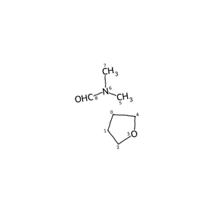 C1CCOC1.CN(C)C=O